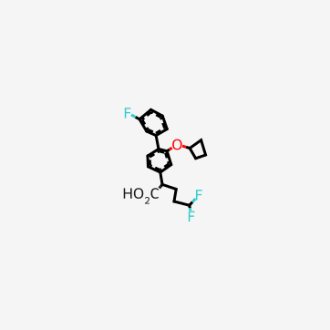 O=C(O)C(CCC(F)F)c1ccc(-c2cccc(F)c2)c(OC2CCC2)c1